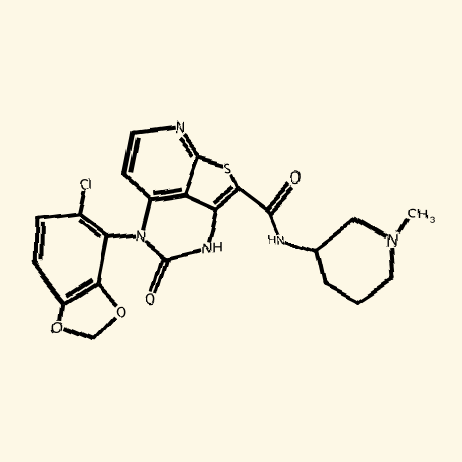 CN1CCCC(NC(=O)c2sc3nccc4c3c2NC(=O)N4c2c(Cl)ccc3c2OCO3)C1